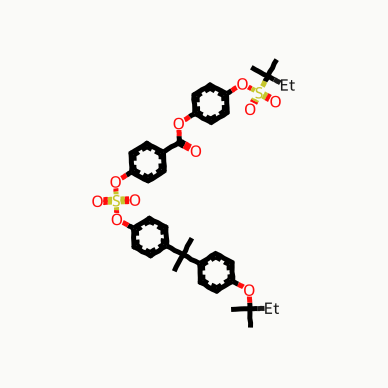 CCC(C)(C)Oc1ccc(C(C)(C)c2ccc(OS(=O)(=O)Oc3ccc(C(=O)Oc4ccc(OS(=O)(=O)C(C)(C)CC)cc4)cc3)cc2)cc1